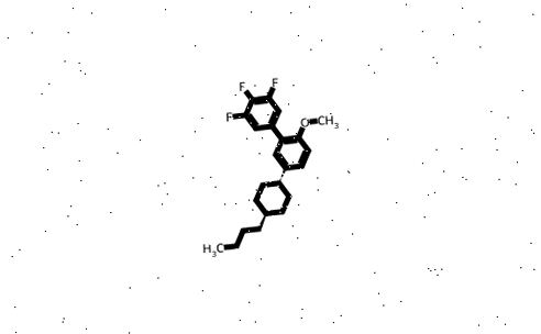 CCCC[C@H]1CC[C@H](c2ccc(OC)c(-c3cc(F)c(F)c(F)c3)c2)CC1